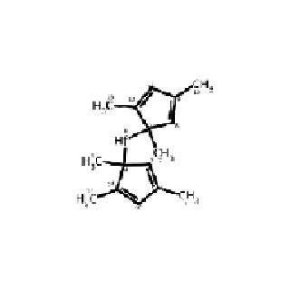 CC1=C[C](C)([Hf][C]2(C)C=C(C)C=C2C)C(C)=C1